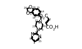 O=C(O)C=CC(=O)O.c1cnc(N2CCN(Cc3ccc4c(c3)OCO4)CC2)nc1